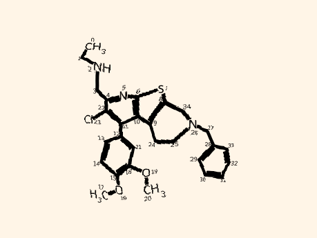 CCNCc1nc2sc3c(c2c(-c2ccc(OC)c(OC)c2)c1Cl)CCN(Cc1ccccc1)C3